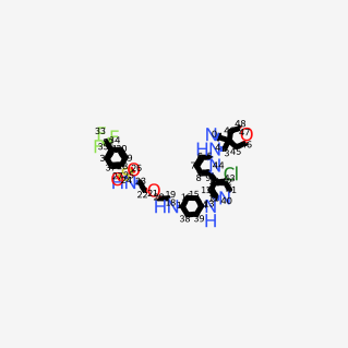 N#CC1(CNc2cccc(-c3cc(N[C@H]4CC[C@H](NCCOCCNS(=O)(=O)c5ccc(C(F)(F)F)cc5)CC4)ncc3Cl)n2)CCOCC1